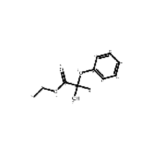 CCOC(=O)C(C)(O)Oc1ccccc1